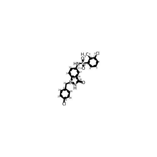 Cc1c(Cl)cccc1S(=O)(=O)Nc1ccc2c(c1)c(=O)[nH]n2Cc1ccc(Cl)cc1